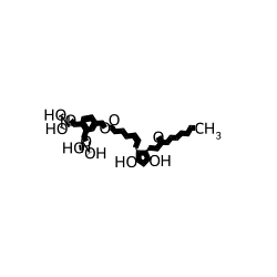 CCCCCCCC(=O)CC[C@@H]1[C@@H](C/C=C\CCCC(=O)OCc2ccc(CON(O)O)c(CON(O)O)c2)[C@@H](O)C[C@H]1O